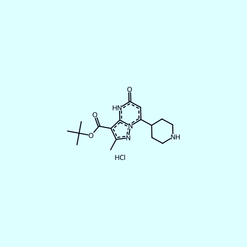 Cc1nn2c(C3CCNCC3)cc(=O)[nH]c2c1C(=O)OC(C)(C)C.Cl